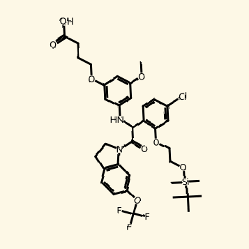 COc1cc(NC(C(=O)N2CCc3ccc(OC(F)(F)F)cc32)c2ccc(Cl)cc2OCCO[Si](C)(C)C(C)(C)C)cc(OCCCC(=O)O)c1